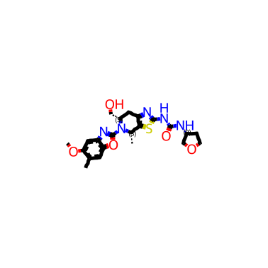 COc1cc2nc(N3[C@H](CO)Cc4nc(NC(=O)N[C@@H]5CCOC5)sc4[C@@H]3C)oc2cc1C